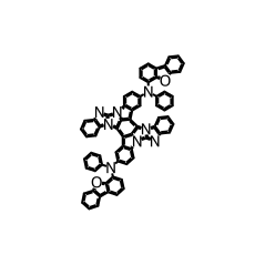 c1ccc(N(c2ccc3c(c2)c2c4c5c(c6cc(N(c7ccccc7)c7cccc8c7oc7ccccc78)ccc6n5c5nc6ccccc6n45)c4c2n3c2nc3ccccc3n42)c2cccc3c2oc2ccccc23)cc1